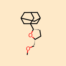 COC[C@H]1CC[C@@H](C23CC4CC(CC(C4)C2)C3)O1